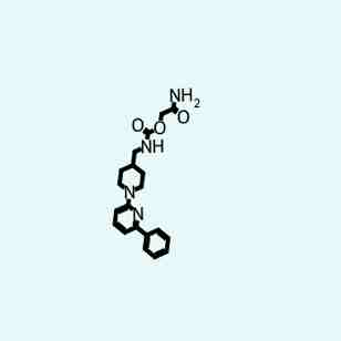 NC(=O)COC(=O)NCC1CCN(c2cccc(-c3ccccc3)n2)CC1